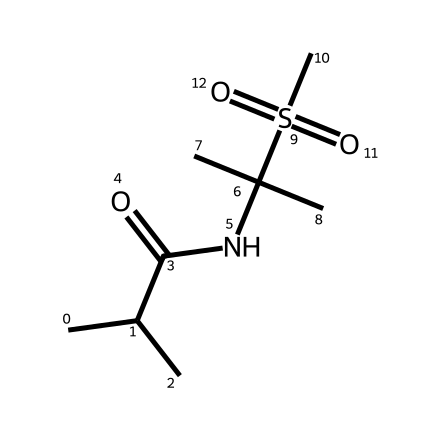 CC(C)C(=O)NC(C)(C)S(C)(=O)=O